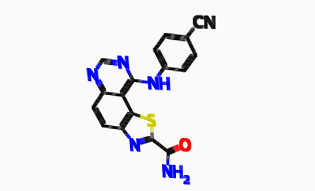 N#Cc1ccc(Nc2ncnc3ccc4nc(C(N)=O)sc4c23)cc1